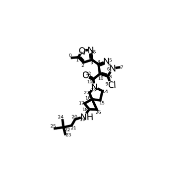 Cc1cc(-c2nn(C)c(Cl)c2C(=O)N2CCC3(CC(NCCC(C)(C)C)C3)C2)no1